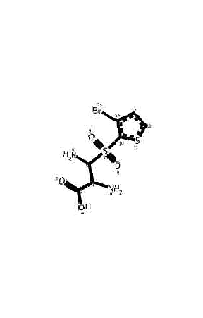 NC(C(=O)O)C(N)S(=O)(=O)c1sccc1Br